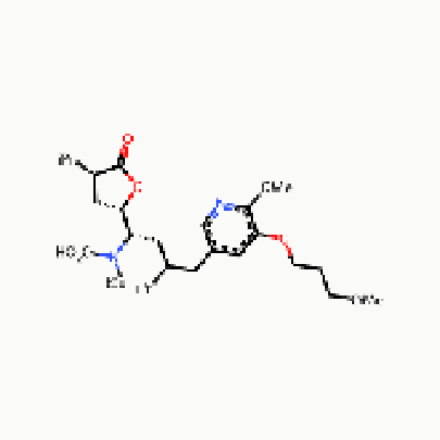 COCCCOc1cc(C[C@H](C[C@@H]([C@@H]2C[C@@H](C(C)C)C(=O)O2)N(C(=O)O)C(C)(C)C)C(C)C)cnc1OC